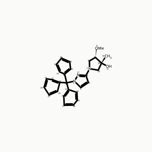 CO[C@H]1CN(c2ccn(C(c3ccccc3)(c3ccccc3)c3ccccc3)n2)C[C@@]1(C)O